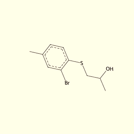 Cc1ccc(SCC(C)O)c(Br)c1